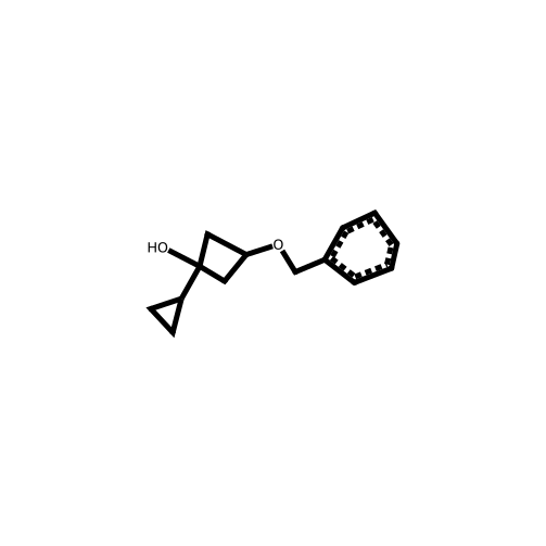 OC1(C2CC2)CC(OCc2ccccc2)C1